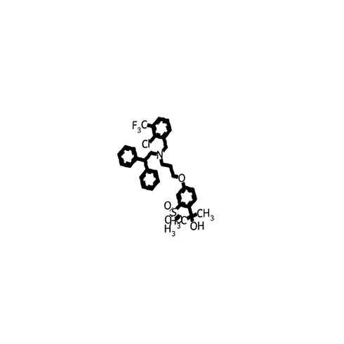 CC(C)(O)c1ccc(OCCCN(Cc2cccc(C(F)(F)F)c2Cl)CC(c2ccccc2)c2ccccc2)cc1S(C)(=O)=O